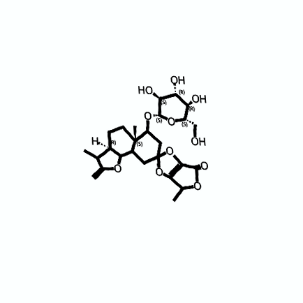 C=C1OC2C3CC4(CC(O[C@H]5O[C@@H](CO)[C@H](O)[C@@H](O)[C@@H]5O)[C@@]3(C)CC[C@@H]2C1C)OC1=C(O4)C(C)OC1=O